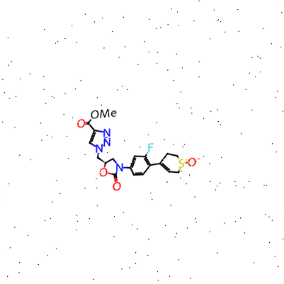 COC(=O)c1cn(C[C@H]2CN(c3ccc(C4=CC[S+]([O-])CC4)c(F)c3)C(=O)O2)nn1